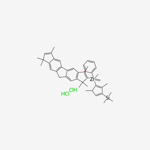 Cl.Cl.[CH2]=[Zr]([CH3])([C]1=C(C)C([Si](C)(C)C)=CC1C)([C]1=C(C)c2cc3c(cc2C1(C)C)Cc1cc2c(cc1-3)C(C)=CC2(C)C)[c]1ccccc1